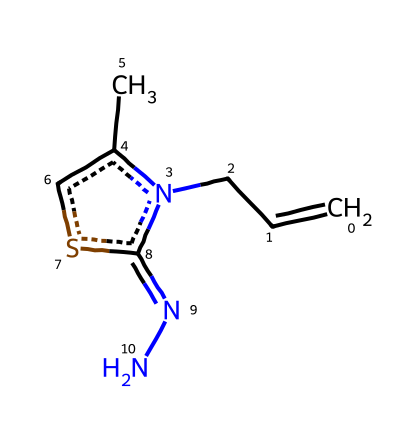 C=CCn1c(C)cs/c1=N\N